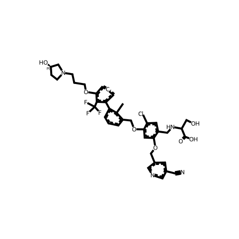 Cc1c(COc2cc(OCc3cncc(C#N)c3)c(CNC(CO)C(=O)O)cc2Cl)cccc1-c1cccc(OCCCN2CC[C@@H](O)C2)c1C(F)(F)F